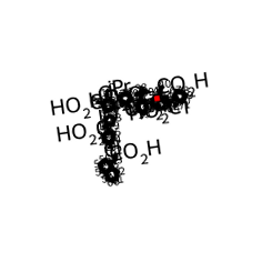 CC(C)Oc1ccccc1C(=O)O.CC(C)c1ccccc1C(=O)O.O=C(O)C1(c2ccc(Cl)cc2)CCCC1.O=C(O)C1(c2ccccc2)CC1.O=C(O)CC12CC3CC(CC(C3)C1)C2.O=C(O)Cc1cccc2ccccc12.O=C(O)c1ccccc1I